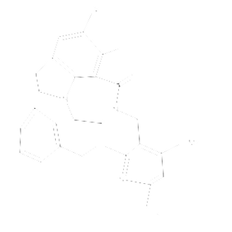 COc1cc(C)nc(OCc2ccccc2)c1CN1CCN2CCc3cc(Br)c(Cl)c(c32)C1=O